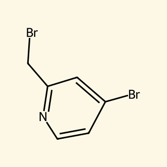 BrCc1cc(Br)ccn1